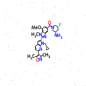 COc1cc(C(=O)N2C[C@H](N)C[C@@H](F)C2)cc2nc(-c3cc4ccc(-c5c(C)noc5C)nc4n3CC3CC3)n(C)c12